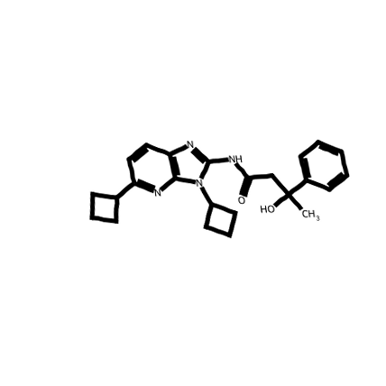 CC(O)(CC(=O)Nc1nc2ccc(C3CCC3)nc2n1C1CCC1)c1ccccc1